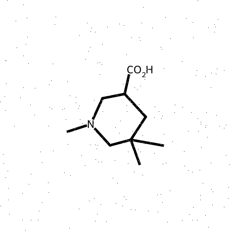 CN1CC(C(=O)O)CC(C)(C)C1